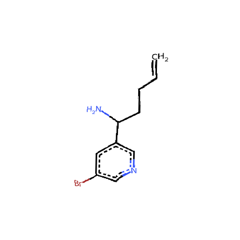 C=CCCC(N)c1cncc(Br)c1